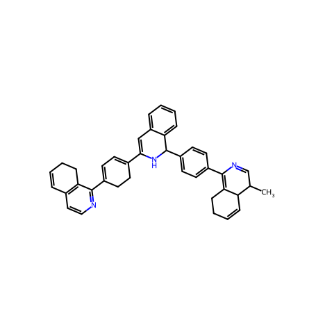 CC1C=NC(c2ccc(C3NC(C4=CC=C(c5nccc6c5CCC=C6)CC4)=Cc4ccccc43)cc2)=C2CCC=CC21